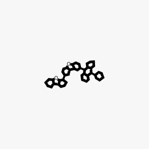 c1ccc(-c2c3ccccc3c(-c3ccc4oc5ccc(-c6cccc7c6oc6ccccc67)cc5c4c3)c3ccccc23)cc1